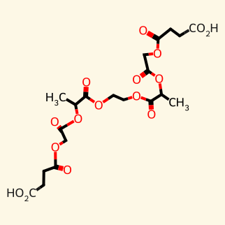 CC(OC(=O)COC(=O)CCC(=O)O)C(=O)OCCOC(=O)C(C)OC(=O)COC(=O)CCC(=O)O